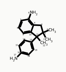 CC1(C)Cc2c(N)cccc2C1(C)c1ccc(N)cc1